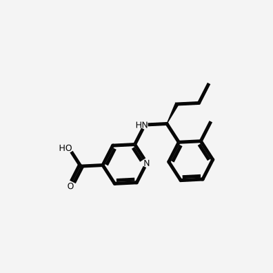 CCC[C@H](Nc1cc(C(=O)O)ccn1)c1ccccc1C